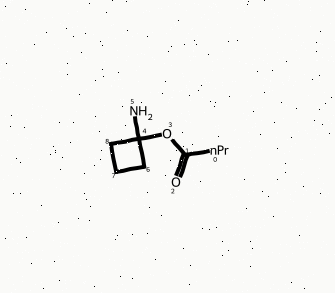 CCCC(=O)OC1(N)CCC1